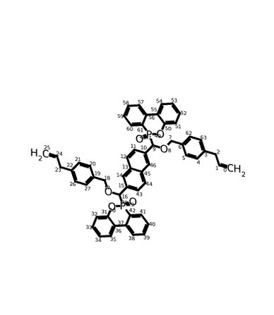 C=CCc1ccc(COC(c2ccc3cc(C(OCc4ccc(CC=C)cc4)P4(=O)Oc5ccccc5-c5ccccc54)ccc3c2)P2(=O)Oc3ccccc3-c3ccccc32)cc1